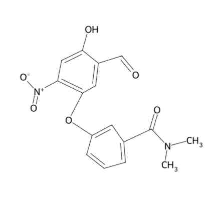 CN(C)C(=O)c1cccc(Oc2cc(C=O)c(O)cc2[N+](=O)[O-])c1